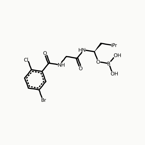 CC(C)C[C@H](NC(=O)CNC(=O)c1cc(Br)ccc1Cl)OB(O)O